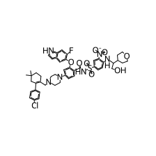 CC1(C)CCC(CN2CCN(c3ccc(C(=O)NS(=O)(=O)c4ccc(NC(CO)C5CCOCC5)c([N+](=O)[O-])c4)c(Oc4cc5cc[nH]c5cc4F)c3)CC2)=C(c2ccc(Cl)cc2)C1